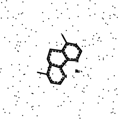 Cc1ccnc2c1ccc1c(C)ccnc12.[Ru]